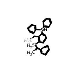 C=C([SiH2]c1cccc([SiH](c2ccccc2)c2ccccc2)c1CC)c1ccccc1